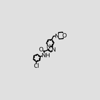 O=C(Nc1cccc(Cl)c1)c1cnc2cc(CN3CCOCC3)ccn12